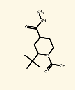 CC(C)(C)C1CC(C(=O)NN)CCN1C(=O)O